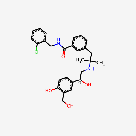 CC(C)(Cc1cccc(C(=O)NCc2ccccc2Cl)c1)NC[C@@H](O)c1ccc(O)c(CO)c1